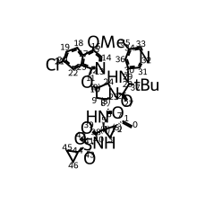 C=C[C@@H]1C[C@]1(NC(=O)[C@@H]1C[C@@H](Oc2ncc(OC)c3ccc(Cl)cc23)CN1C(=O)C(Nc1cncc(C)c1)C(C)(C)C)C(=O)NS(=O)(=O)C1CC1